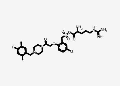 Cc1cc(CN2CCN(C(=O)COc3ccc(Cl)cc3CS(=O)(=O)OC(=O)[C@@H](N)CCCNC(=N)N)CC2)c(C)cc1F